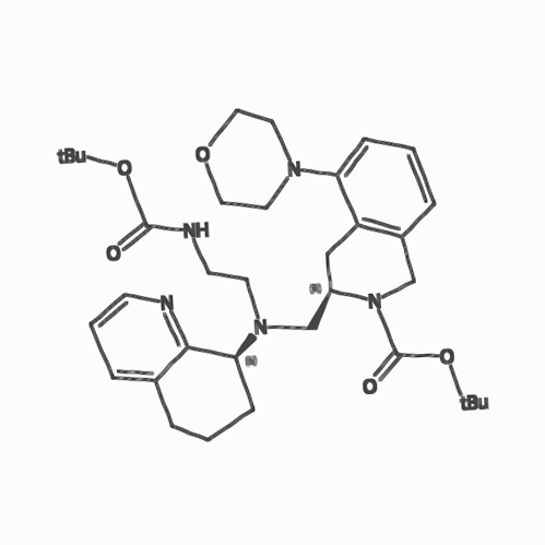 CC(C)(C)OC(=O)NCCN(C[C@H]1Cc2c(cccc2N2CCOCC2)CN1C(=O)OC(C)(C)C)[C@H]1CCCc2cccnc21